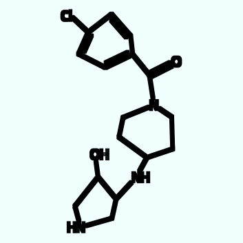 O=C(c1ccc(Cl)cc1)N1CCC(NC2CNCC2O)CC1